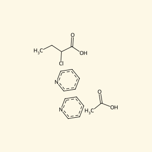 CC(=O)O.CCC(Cl)C(=O)O.c1ccncc1.c1ccncc1